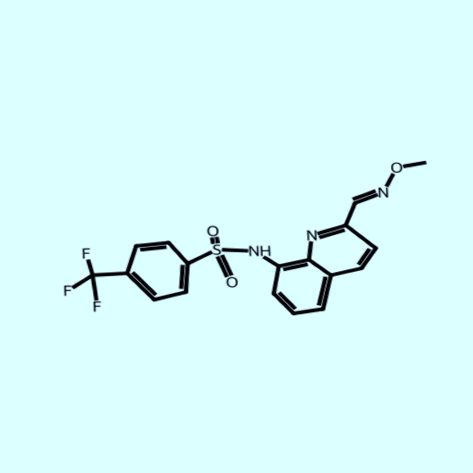 CO/N=C/c1ccc2cccc(NS(=O)(=O)c3ccc(C(F)(F)F)cc3)c2n1